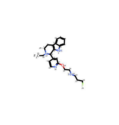 C[C@@H]1Cc2c([nH]c3ccccc23)C(c2ccnc(OCCNCCCF)c2)N1CC(F)(F)F